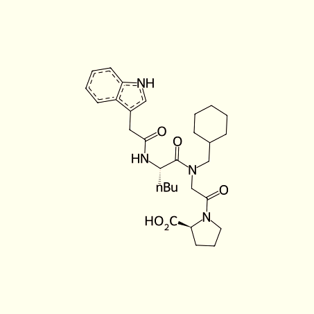 CCCC[C@H](NC(=O)Cc1c[nH]c2ccccc12)C(=O)N(CC(=O)N1CCC[C@H]1C(=O)O)CC1CCCCC1